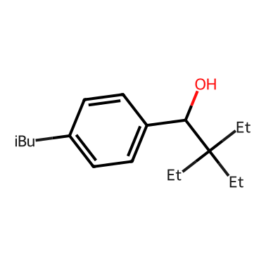 CCC(C)c1ccc(C(O)C(CC)(CC)CC)cc1